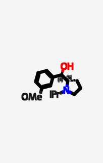 COc1cccc([C@@H](O)[C@@H]2CCCN2C(C)C)c1